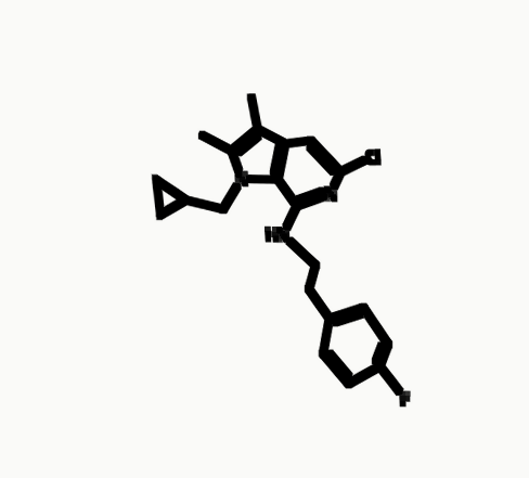 Cc1c(C)n(CC2CC2)c2c(NCCc3ccc(F)cc3)nc(Cl)cc12